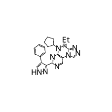 CC[C@@H]1c2nncn2-c2cnc(-c3n[nH]cc3-c3ccccc3)nc2N1C1CCCC1